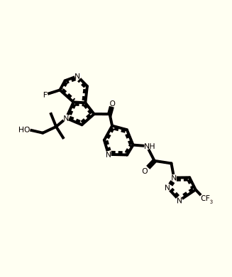 CC(C)(CO)n1cc(C(=O)c2cncc(NC(=O)Cn3cc(C(F)(F)F)nn3)c2)c2cncc(F)c21